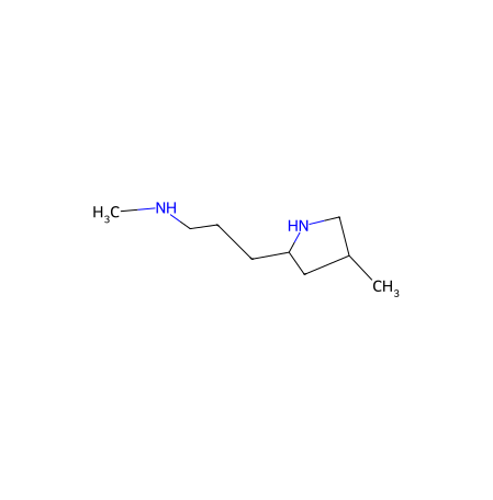 CNCCCC1CC(C)CN1